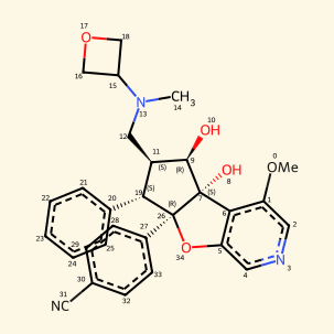 COc1cncc2c1[C@]1(O)[C@H](O)[C@H](CN(C)C3COC3)[C@@H](c3ccccc3)[C@]1(c1ccc(C#N)cc1)O2